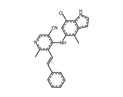 Cc1ncc(C#N)c(Nc2cc(Cl)c3[nH]ccc3c2C)c1/C=C/c1ccccc1